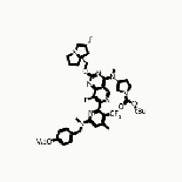 COc1ccc(CN(C)c2cc(C)c(C(F)(F)F)c(-c3ncc4c(N(C)[C@@H]5CCN(C(=O)OC(C)(C)C)C5)nc(OC[C@@]56CCCN5C[C@H](F)C6)nc4c3F)n2)cc1